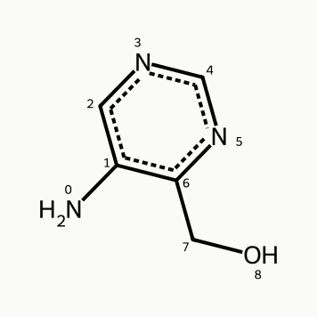 Nc1cncnc1CO